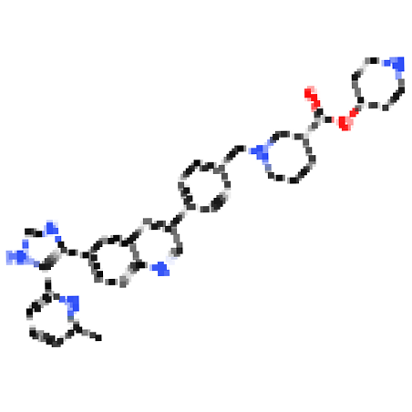 Cc1cccc(-c2[nH]cnc2-c2ccc3ncc(-c4ccc(CN5CCCC(C(=O)OC6CCNCC6)C5)cc4)cc3c2)n1